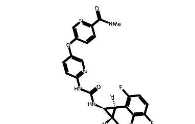 CNC(=O)c1ccc(Oc2ccc(NC(=O)N[C@@H]3[C@H]4COc5c(F)ccc(F)c5[C@@H]43)nc2)cn1